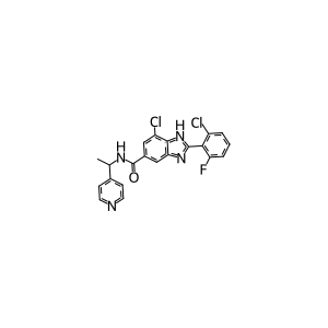 CC(NC(=O)c1cc(Cl)c2[nH]c(-c3c(F)cccc3Cl)nc2c1)c1ccncc1